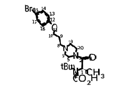 C[C@@H](C(=O)N1CCN(CCCOc2ccc(Br)cc2)CC1)N(C(=O)O)C(C)(C)C